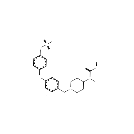 CCCCN(C(=O)NC(C)C)C1CCN(Cc2ccc(Oc3ccc(NS(C)(=O)=O)cc3)cc2)CC1.Cl